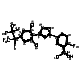 [O-][NH+](O)c1cc(-c2cn(-c3c(Cl)cc(C(F)(C(F)(F)F)C(F)(F)C(F)(F)F)cc3Cl)nn2)ccc1F